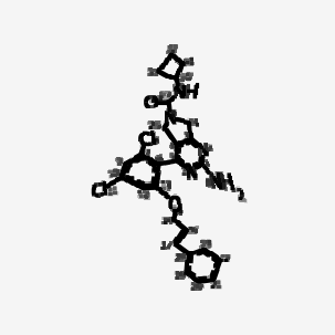 Nc1nc2c(c(-c3c(Cl)cc(Cl)cc3OCC=Cc3ccccc3)n1)CN(C(=O)NC1CCC1)C2